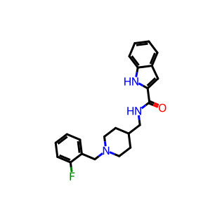 O=C(NCC1CCN(Cc2ccccc2F)CC1)c1cc2ccccc2[nH]1